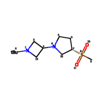 CC(C)(C)N1CC(N2CC[C@H](S(C)(=O)=O)C2)C1